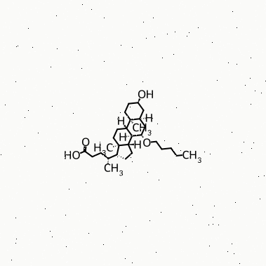 CCCCCO[C@H]1C[C@@H]2C[C@H](O)CC[C@]2(C)[C@H]2CC[C@]3(C)[C@@H]([C@H](C)CCC(=O)O)CC[C@H]3[C@H]12